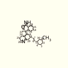 Cc1cccc(C=Cc2cc(C3(c4ccccc4C(N)=O)CC3)c3cccnc3c2)c1